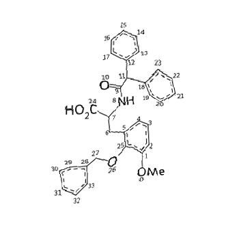 COc1cccc(CC(NC(=O)C(c2ccccc2)c2ccccc2)C(=O)O)c1OCc1ccccc1